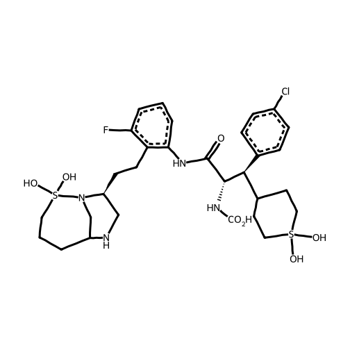 O=C(O)N[C@H](C(=O)Nc1cccc(F)c1CC[C@H]1CNC2CCCS(O)(O)N1C2)[C@@H](c1ccc(Cl)cc1)C1CCS(O)(O)CC1